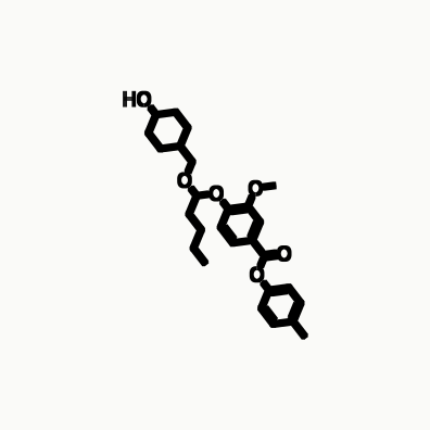 CCCCC(OCC1CCC(O)CC1)Oc1ccc(C(=O)Oc2ccc(C)cc2)cc1OC